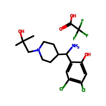 CC(C)(O)CN1CCC(C(N)c2cc(Cl)c(Cl)cc2O)CC1.O=C(O)C(F)(F)F